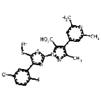 Cc1cc(-c2c(C)nn(-c3nc(-c4cc(Cl)ccc4F)c(SC(C)C)s3)c2C(=O)O)cc(C)n1